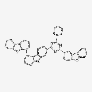 c1ccc(-c2nc(-c3ccc4c(c3)sc3cccc(-c5cccc6c5sc5ccccc56)c34)nc(-c3ccc4oc5ccccc5c4c3)n2)cc1